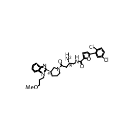 COCCCn1c([C@@H]2CCCN(C(=O)C[C@@H](N)CNC(=O)c3ccc(-c4cc(Cl)ccc4Cl)o3)C2)nc2ccccc21